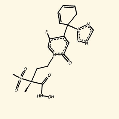 C[C@@](CCn1cc(F)c(C2(n3ncnn3)C=CC=CC2)cc1=O)(C(=O)NO)S(C)(=O)=O